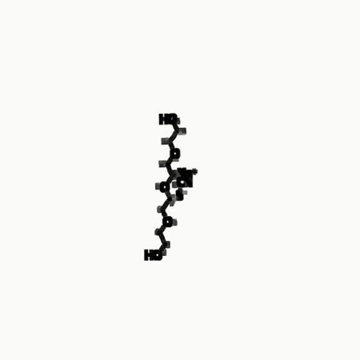 N#C[S-].OCCOCCOCCOCCO.[Na+]